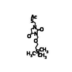 CC(=O)SCN1CC(=O)N(COCC[Si](C)(C)C)C1=O